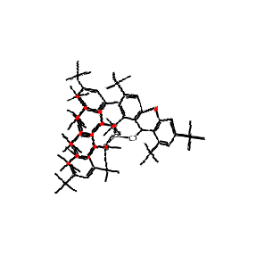 Cc1cc(C(C)(C)C)cc(C(C)(C)C)c1C(OP(OC(c1c(C)cc(C(C)(C)C)cc1C(C)(C)C)c1c(C)cc(C(C)(C)C)cc1C(C)(C)C)OC(c1c(C)cc(C(C)(C)C)cc1C(C)(C)C)c1c(C)cc(C(C)(C)C)cc1C(C)(C)C)c1c(C)cc(C(C)(C)C)cc1C(C)(C)C